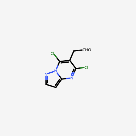 O=CCc1c(Cl)nc2ccnn2c1Cl